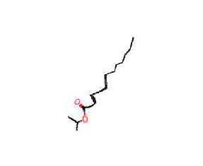 CCCCCCCCC=CC(=O)OC(C)C